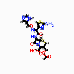 CC(=O)OCC1=C(C(=O)O)N2C(=O)[C@@H](NC(=O)C(=NOCc3cncn3C)c3csc(N)n3)[C@@H]2SC1